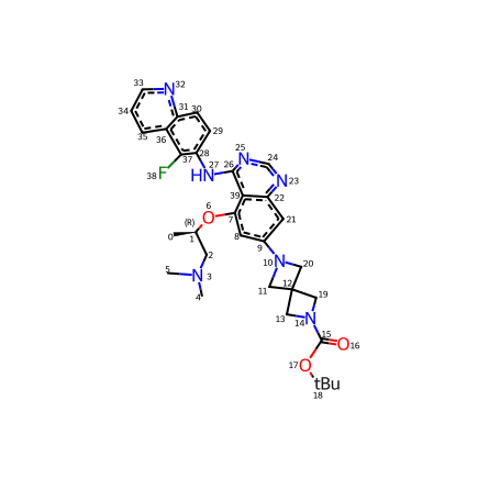 C[C@H](CN(C)C)Oc1cc(N2CC3(CN(C(=O)OC(C)(C)C)C3)C2)cc2ncnc(Nc3ccc4ncccc4c3F)c12